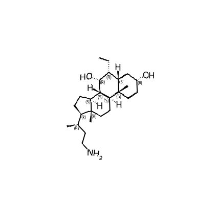 CC[C@H]1[C@@H](O)[C@@H]2[C@H](CC[C@]3(C)[C@@H]([C@H](C)CCN)CC[C@@H]23)[C@@]2(C)CC[C@@H](O)C[C@@H]12